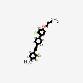 C=CCCOc1ccc(C2CCC(C#Cc3ccc(C)c(F)c3F)CC2)c(F)c1F